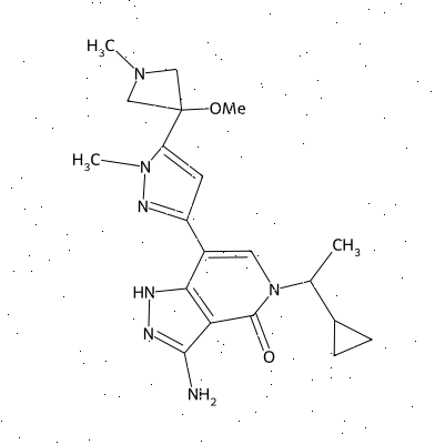 COC1(c2cc(-c3cn(C(C)C4CC4)c(=O)c4c(N)n[nH]c34)nn2C)CN(C)C1